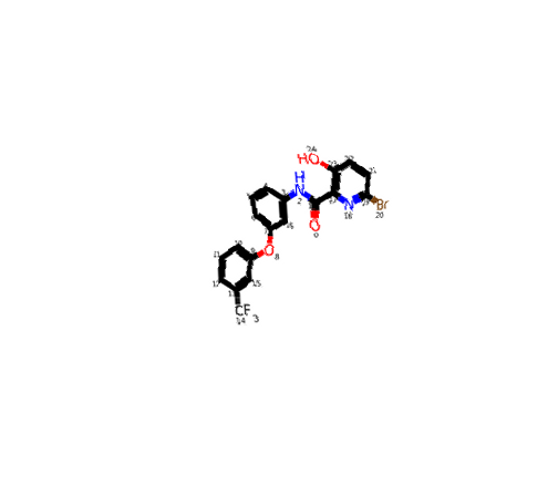 O=C(Nc1cccc(Oc2cccc(C(F)(F)F)c2)c1)c1nc(Br)ccc1O